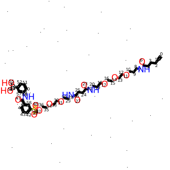 C#CCCCC(=O)NCCCOCCOCCOCCCNC(=O)CCC(=O)NCCOCCOCCOS(=O)(=O)c1cccc(C(=O)Nc2cccc(B(O)O)c2)c1